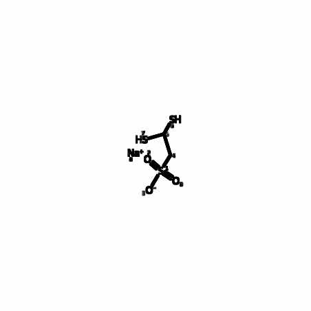 O=S(=O)([O-])CC(S)S.[Na+]